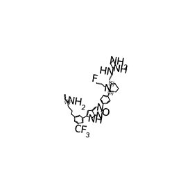 C=C[C@H](N)CCCc1cc(-c2cc3cn(-c4ccc([C@@H]5CCC[C@@H](CCNC(=N)CN)N5CCCF)cc4)c(=O)nc3[nH]2)cc(C(F)(F)F)c1